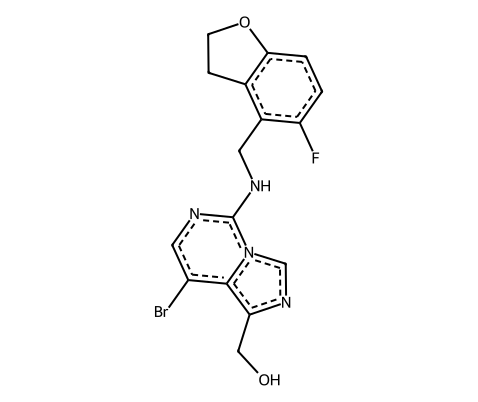 OCc1ncn2c(NCc3c(F)ccc4c3CCO4)ncc(Br)c12